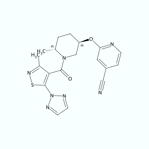 Cc1nsc(-n2nccn2)c1C(=O)N1C[C@H](Oc2cc(C#N)ccn2)CC[C@H]1C